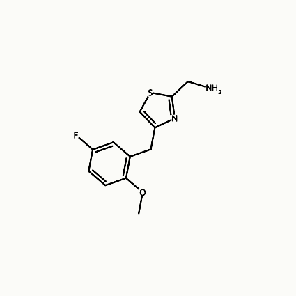 COc1ccc(F)cc1Cc1csc(CN)n1